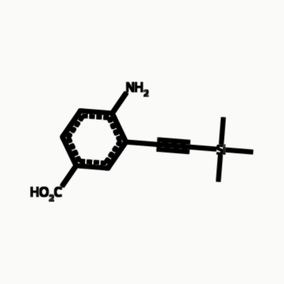 C[Si](C)(C)C#Cc1cc(C(=O)O)ccc1N